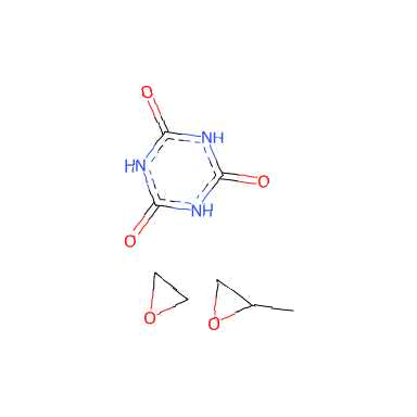 C1CO1.CC1CO1.O=c1[nH]c(=O)[nH]c(=O)[nH]1